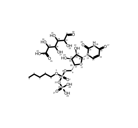 CCCCCOP(=O)(OC[C@H]1O[C@@H](n2ccc(=O)[nH]c2=O)[C@H](O)[C@@H]1O)OP(=O)(O)O.O=CC(O)C(O)C(O)C(O)C(=O)O